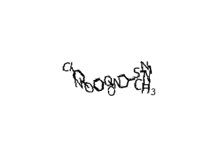 CC(Sc1ncc[nH]1)C1CCN(C(=O)Oc2ccc(Oc3ccc(Cl)cn3)cc2)CC1